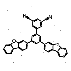 N#Cc1cc(C#N)cc(-c2cc(-c3ccc4c(c3)oc3ccccc34)cc(-c3ccc4c(c3)sc3ccccc34)c2)c1